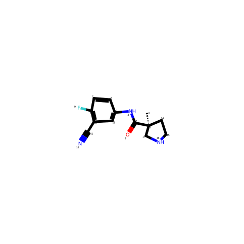 C[C@]1(C(=O)Nc2ccc(F)c(C#N)c2)CCNC1